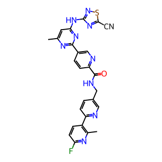 Cc1cc(Nc2nsc(C#N)n2)nc(-c2ccc(C(=O)NCc3ccc(-c4ccc(F)nc4C)nc3)nc2)n1